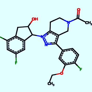 CCOc1cc(-c2nn(C3c4cc(F)cc(F)c4CC3O)c3c2CN(C(C)=O)CC3)ccc1F